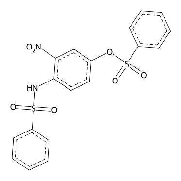 O=[N+]([O-])c1cc(OS(=O)(=O)c2ccccc2)ccc1NS(=O)(=O)c1ccccc1